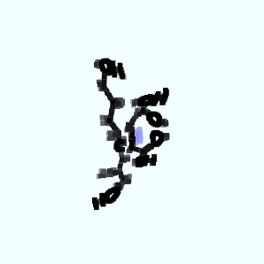 O=C(O)/C=C\C(=O)O.OCCCCCCCCO